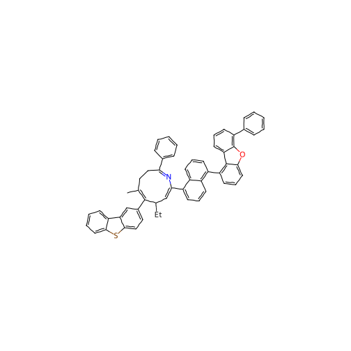 CCC1/C=C(c2cccc3c(-c4cccc5oc6c(-c7ccccc7)cccc6c45)cccc23)\N=C(\c2ccccc2)CC/C(C)=C\1c1ccc2sc3ccccc3c2c1